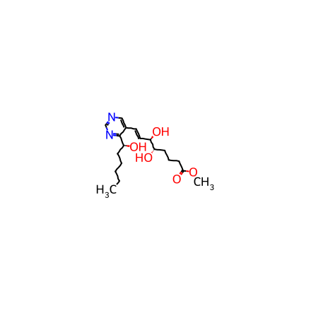 CCCCC[C@H](O)c1ncncc1/C=C/[C@@H](O)[C@@H](O)CCCC(=O)OC